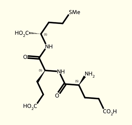 CSCC[C@H](NC(=O)[C@H](CCC(=O)O)NC(=O)[C@@H](N)CCC(=O)O)C(=O)O